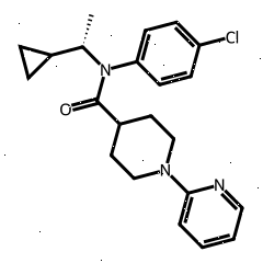 C[C@@H](C1CC1)N(C(=O)C1CCN(c2ccccn2)CC1)c1ccc(Cl)cc1